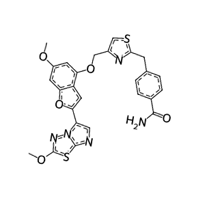 COc1cc(OCc2csc(Cc3ccc(C(N)=O)cc3)n2)c2cc(-c3cnc4sc(OC)nn34)oc2c1